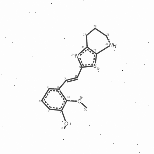 COc1cccc(C=Cc2nc3c(s2)NCCC3)c1OC